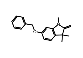 C=C1N(C)c2cc(OCc3ccccc3)ccc2C1(C)C